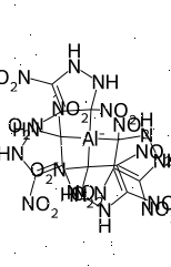 O=[N+]([O-])C1=C([N+](=O)[O-])[C]([N+](=O)[O-])([Al-]([C]2([N+](=O)[O-])NNC([N+](=O)[O-])=C2[N+](=O)[O-])([C]2([N+](=O)[O-])NNC([N+](=O)[O-])=C2[N+](=O)[O-])[C]2([N+](=O)[O-])NNC([N+](=O)[O-])=C2[N+](=O)[O-])NN1